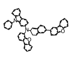 C1=c2ccc(-c3ccc4oc5ccccc5c4c3)cc2=CCC1N(c1ccc2c3ccccc3n(-c3ccccc3)c2c1)c1cccc2c1oc1ccccc12